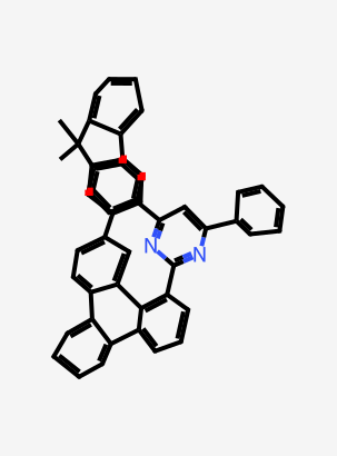 CC1(C)c2ccccc2-c2ccc(-c3ccc4c5ccccc5c5cccc(-c6nc(-c7ccccc7)cc(-c7ccccc7)n6)c5c4c3)cc21